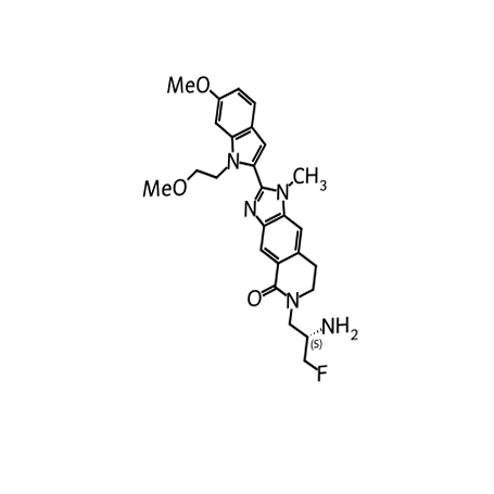 COCCn1c(-c2nc3cc4c(cc3n2C)CCN(C[C@H](N)CF)C4=O)cc2ccc(OC)cc21